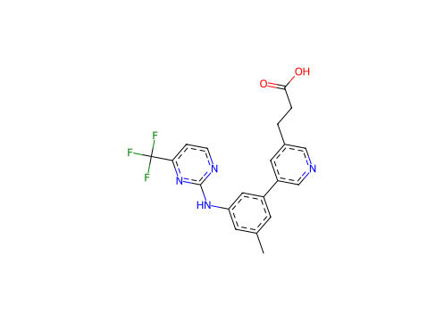 Cc1cc(Nc2nccc(C(F)(F)F)n2)cc(-c2cncc(CCC(=O)O)c2)c1